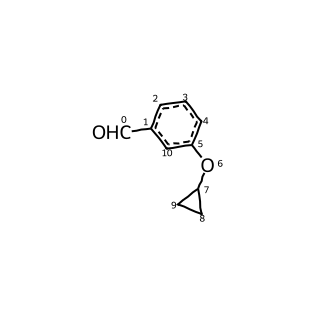 O=Cc1cccc(OC2CC2)c1